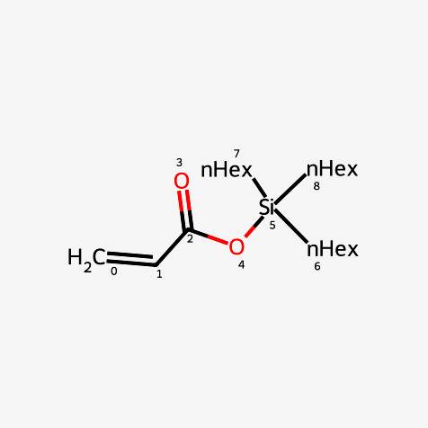 C=CC(=O)O[Si](CCCCCC)(CCCCCC)CCCCCC